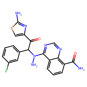 NC(=O)c1cccc2c(N(N)C(C(=O)c3csc(N)n3)c3cccc(F)c3)ncnc12